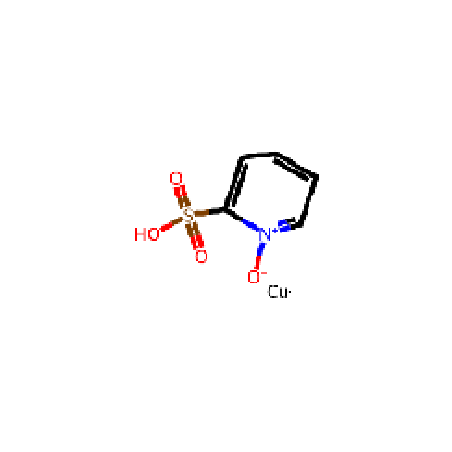 O=S(=O)(O)c1cccc[n+]1[O-].[Cu]